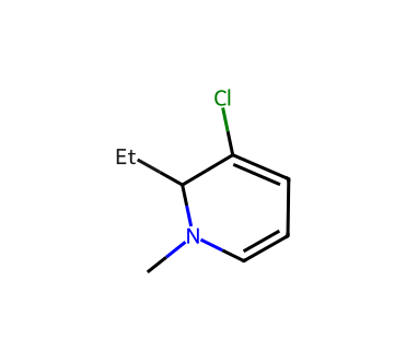 CCC1C(Cl)=CC=CN1C